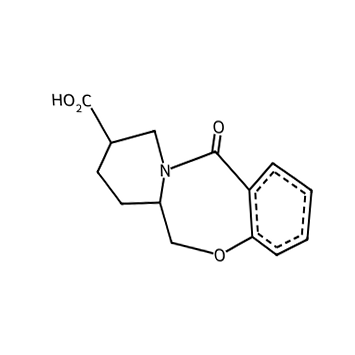 O=C(O)C1CCC2COc3ccccc3C(=O)N2C1